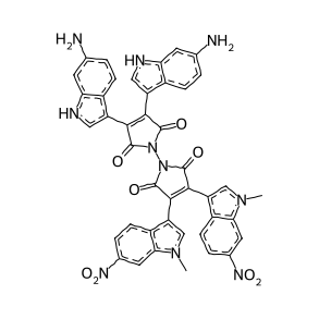 Cn1cc(C2=C(c3cn(C)c4cc([N+](=O)[O-])ccc34)C(=O)N(N3C(=O)C(c4c[nH]c5cc(N)ccc45)=C(c4c[nH]c5cc(N)ccc45)C3=O)C2=O)c2ccc([N+](=O)[O-])cc21